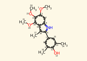 COc1cc2[nH]c(-c3cc(C)c(O)c(C)c3)c(C)c2c(OC)c1OC